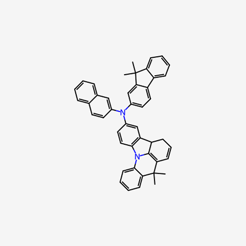 CC1(C)C2=C3C(CC=C2)c2cc(N(c4ccc5c(c4)C(C)(C)c4ccccc4-5)c4ccc5ccccc5c4)ccc2N3c2ccccc21